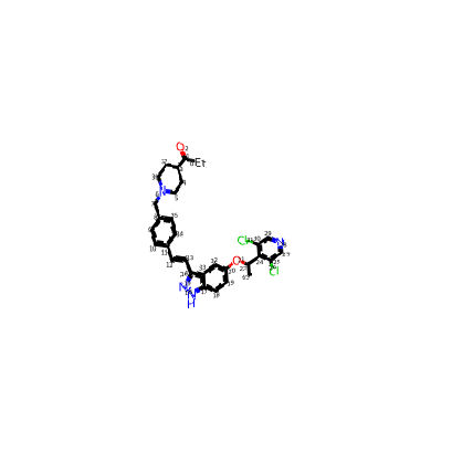 CCC(=O)C1CCN(Cc2ccc(/C=C/c3n[nH]c4ccc(OC(C)c5c(Cl)cncc5Cl)cc34)cc2)CC1